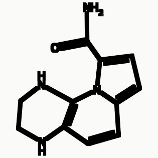 NC(=O)c1ccc2ccc3c(n12)NCCN3